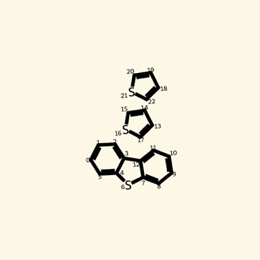 c1ccc2c(c1)sc1ccccc12.c1ccsc1.c1ccsc1